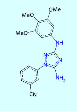 COc1cc(Nc2nc(N)n(-c3cccc(C#N)c3)n2)cc(OC)c1OC